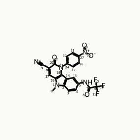 Cn1c2ccc(NC(=O)C(F)(F)F)cc2c2c1cc(C#N)c(=O)n2-c1ccc([N+](=O)[O-])cc1